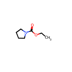 CCOC(=O)N1CCCC1